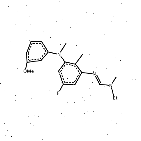 CCN(C)C=Nc1cc(F)cc(N(C)c2cccc(OC)c2)c1C